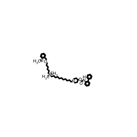 COc1ccccc1COCCCCCC[N+](C)(C)CCCCCCCCCCCN1CCC(OC(=O)Nc2ccccc2-c2ccccc2)CC1